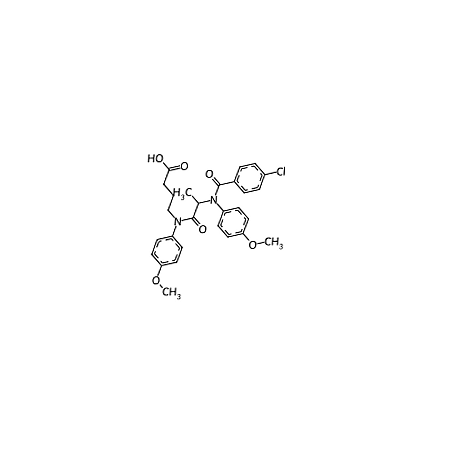 COc1ccc(N(CCCC(=O)O)C(=O)C(C)N(C(=O)c2ccc(Cl)cc2)c2ccc(OC)cc2)cc1